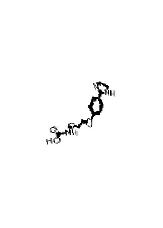 O=C(O)NOCCOc1ccc(C2=NCCN2)cc1